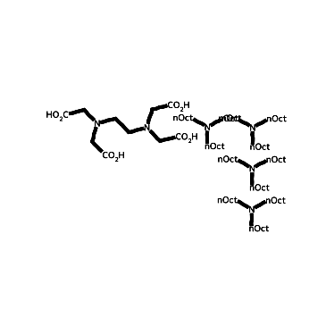 CCCCCCCCN(CCCCCCCC)CCCCCCCC.CCCCCCCCN(CCCCCCCC)CCCCCCCC.CCCCCCCCN(CCCCCCCC)CCCCCCCC.CCCCCCCCN(CCCCCCCC)CCCCCCCC.O=C(O)CN(CCN(CC(=O)O)CC(=O)O)CC(=O)O